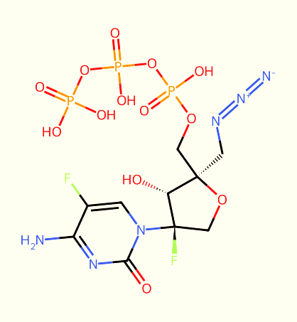 [N-]=[N+]=NC[C@]1(COP(=O)(O)OP(=O)(O)OP(=O)(O)O)OC[C@](F)(n2cc(F)c(N)nc2=O)[C@@H]1O